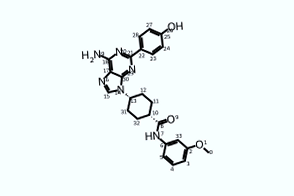 COc1cccc(NC(=O)[C@H]2CC[C@@H](n3cnc4c(N)nc(-c5ccc(O)cc5)nc43)CC2)c1